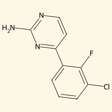 Nc1nccc(-c2cccc(Cl)c2F)n1